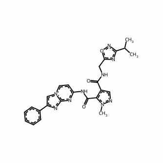 CC(C)c1noc(CNC(=O)c2cnn(C)c2C(=O)Nc2ccn3cc(-c4ccccc4)nc3n2)n1